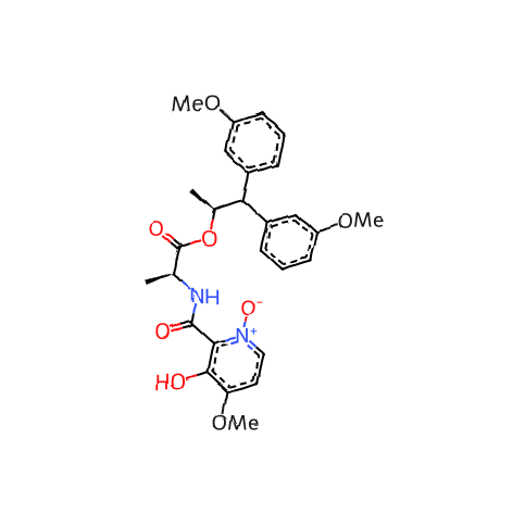 COc1cccc(C(c2cccc(OC)c2)[C@H](C)OC(=O)[C@H](C)NC(=O)c2c(O)c(OC)cc[n+]2[O-])c1